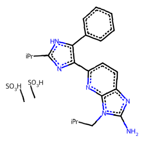 CC(C)Cn1c(N)nc2ccc(-c3nc(C(C)C)[nH]c3-c3ccccc3)nc21.CS(=O)(=O)O.CS(=O)(=O)O